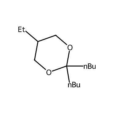 CCCCC1(CCCC)OCC(CC)CO1